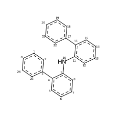 c1ccc(-c2ccccc2Nc2ccccc2-c2ccccc2)cc1